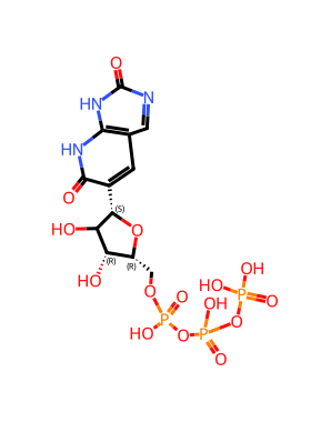 O=c1ncc2cc([C@@H]3O[C@H](COP(=O)(O)OP(=O)(O)OP(=O)(O)O)[C@H](O)C3O)c(=O)[nH]c2[nH]1